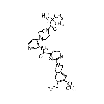 COc1cc2c(cc1OC)CN(c1nccc(C(=O)Nc3cnccc3N3CCN(C(=O)OC(C)(C)C)CC3)n1)C2